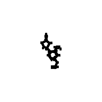 O=C1CCC(c2ccc(CO)cc2C(F)(F)F)C1